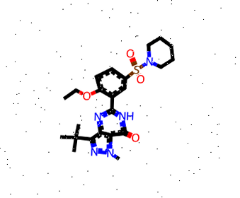 CCOc1ccc(S(=O)(=O)N2CCCCC2)cc1-c1nc2c(C(C)(C)C)nn(C)c2c(=O)[nH]1